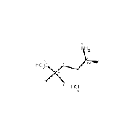 C[C@H](N)CCC(C)(C)C(=O)O.Cl